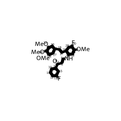 COc1cc(NC=CC(=O)c2cccc(F)c2)c(C=Cc2cc(OC)c(OC)c(OC)c2)cc1F